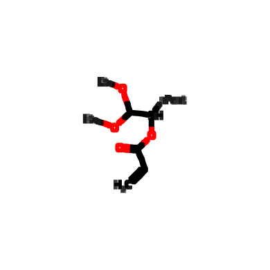 C=CC(=O)O[SiH](CCCCC)C(OCC)OCC